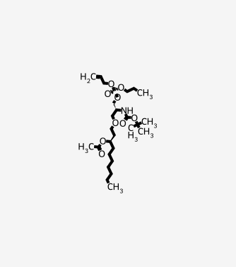 C=CCOP(=O)(OCCC)OC[C@@H](COCC[C@@H](CCCCCCC)OC(C)=O)NC(=O)OC(C)(C)C